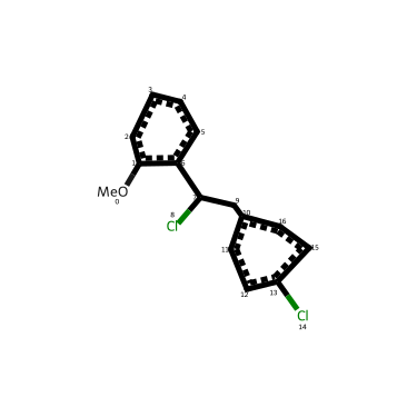 COc1ccc[c]c1C(Cl)Cc1ccc(Cl)cc1